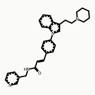 O=C(C=Cc1ccc(-n2cc(CCN3CCCCC3)c3ccccc32)cc1)NCc1cccnc1